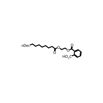 CCCCCCCCCCCCCCCCCC(=O)OCCOC(=O)c1ccccc1C(=O)O